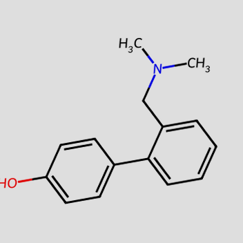 CN(C)Cc1ccccc1-c1ccc(O)cc1